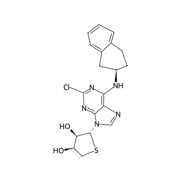 O[C@@H]1[C@H](O)CS[C@H]1n1cnc2c(N[C@@H]3CCc4ccccc4C3)nc(Cl)nc21